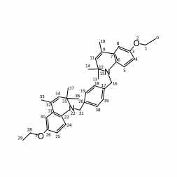 CCOc1ccc2c(c1)C(C)=CC(C)(C)N2Cc1ccc(CN2c3ccc(OCC)cc3C(C)=CC2(C)C)cc1